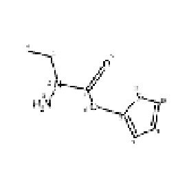 CCN(N)C(=O)Oc1cccs1